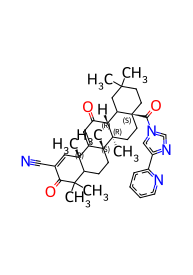 CC1(C)CC[C@]2(C(=O)n3cnc(-c4ccccn4)c3)CC[C@]3(C)[C@H](C(=O)C=C4[C@@]5(C)C=C(C#N)C(=O)C(C)(C)C5CC[C@]43C)C2C1